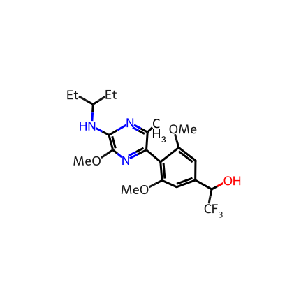 CCC(CC)Nc1nc(C)c(-c2c(OC)cc(C(O)C(F)(F)F)cc2OC)nc1OC